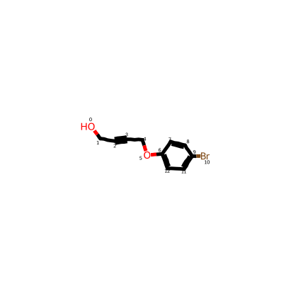 OCC#CCOc1ccc(Br)cc1